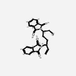 C=CC(CCC(CF)N1C(=O)c2ccccc2C1=O)N1C(=O)c2ccccc2C1=O